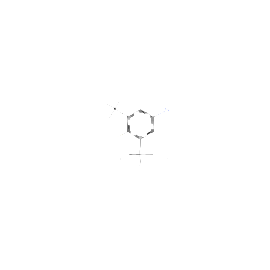 CC(C)(C)c1cc(N)cc(C(C)(C)C)c1S